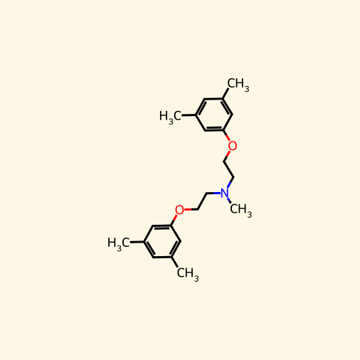 Cc1cc(C)cc(OCCN(C)CCOc2cc(C)cc(C)c2)c1